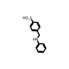 O=S(=O)(O)c1ccc(CNc2ccccc2)cc1